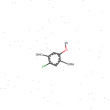 COc1cc(F)c(C=O)cc1OC(C)C